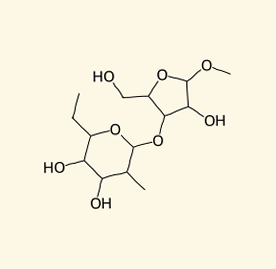 CCC1OC(OC2C(CO)OC(OC)C2O)C(C)C(O)C1O